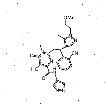 COCCn1ncc([C@@H](c2ccccc2C#N)[C@@H](C)c2nc(C(=O)Nc3cnoc3)c(O)c(=O)n2C)c1C